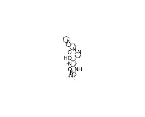 Cc1cc(Nc2cc(-c3ccnc(-n4ccc5c(cc6n5CCCC6)c4=O)c3CO)cn(C)c2=O)nn1C